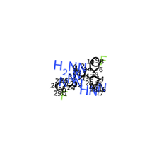 Nc1nc(-c2ccc(F)cc2)c(-c2ccc3nc[nH]c3c2)c2nc(Cc3ncccc3F)nn12